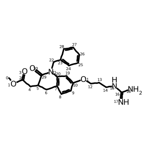 COC(=O)CC1Cc2ccc(OCCCNC(=N)N)cc2N(Cc2ccccc2)C1=O